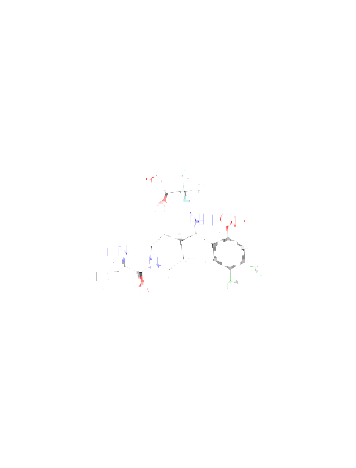 CC(N)C(=O)N1CCC(C(N)c2cc(Cl)c(Cl)cc2O)CC1.O=C(O)C(F)(F)F